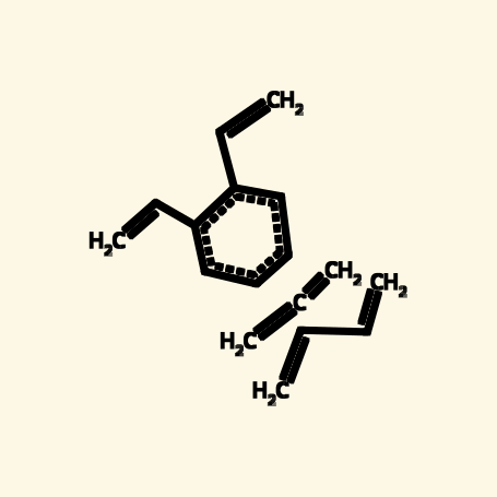 C=C=C.C=CC=C.C=Cc1ccccc1C=C